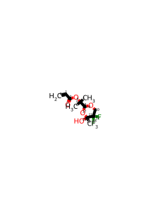 C=CC(=O)OC(C)(C)C1OCC(F)(F)C(O)(C(F)(F)F)O1